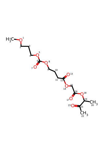 COCCCOC(=O)OCCCC(=O)OCC(=O)OC(C)C(C)=O